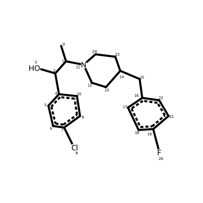 CC(C(O)c1ccc(Cl)cc1)N1CCC(Cc2ccc(F)cc2)CC1